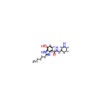 CC(C)CCCCc1nc2c(C(=O)NCC3CCCNC3)ccc(O)c2[nH]1